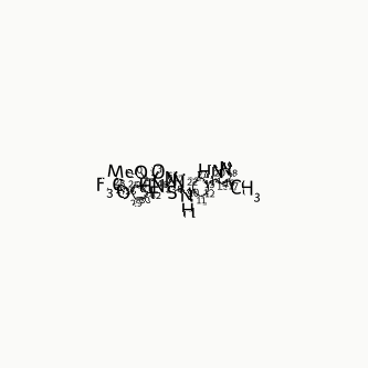 COC(C(=O)Nc1nnc(NC2CCC(C3C=C(C)C=NN3)CC2)s1)c1cc(OC(F)(F)F)ccc1F